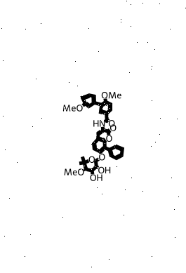 COc1cccc(-c2cc(C(=O)Nc3cc4ccc(OC5OC(C)(C)[C@H](OC)C(O)C5O)c(-c5ccccc5)c4oc3=O)ccc2OC)c1